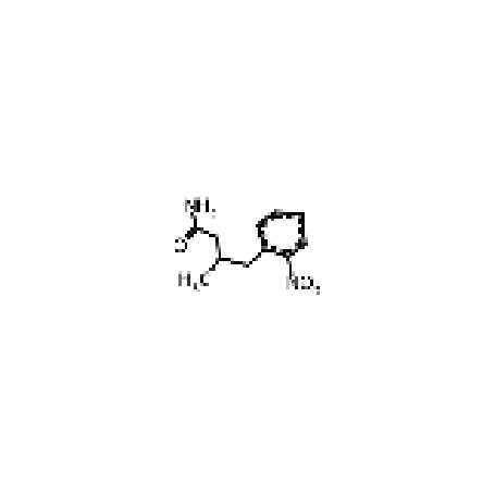 CC(CC(N)=O)Cc1ccccc1[N+](=O)[O-]